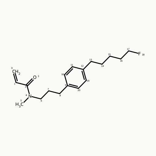 C=CC(=O)N(C)CCCc1ccc(CCCCCF)cc1